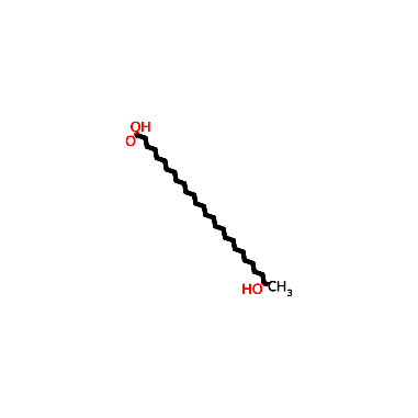 CC(O)CCCCCCCCCCCCCCCCCCCCCCCCCC(=O)O